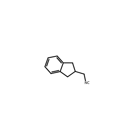 [C-]#[N+]CC1Cc2ccccc2C1